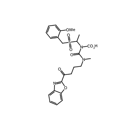 COc1ccccc1CS(=O)(=O)C(C)N(C(=O)O)C(=O)N(C)CCCC(=O)c1nc2ccccc2o1